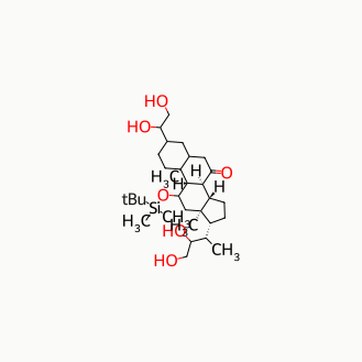 CC(C(O)CO)[C@H]1CC[C@H]2[C@@H]3C(=O)CC4CC(C(O)CO)CC[C@]4(C)[C@H]3C(O[Si](C)(C)C(C)(C)C)C[C@]12C